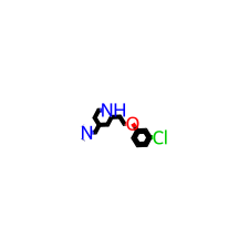 CN(C)CC1CCNC(CCOc2cccc(Cl)c2)C1